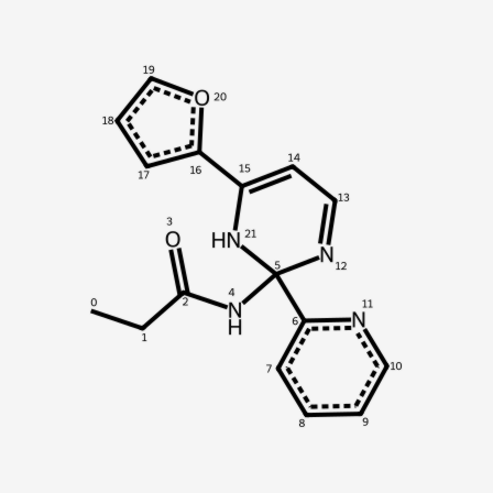 CCC(=O)NC1(c2ccccn2)N=CC=C(c2ccco2)N1